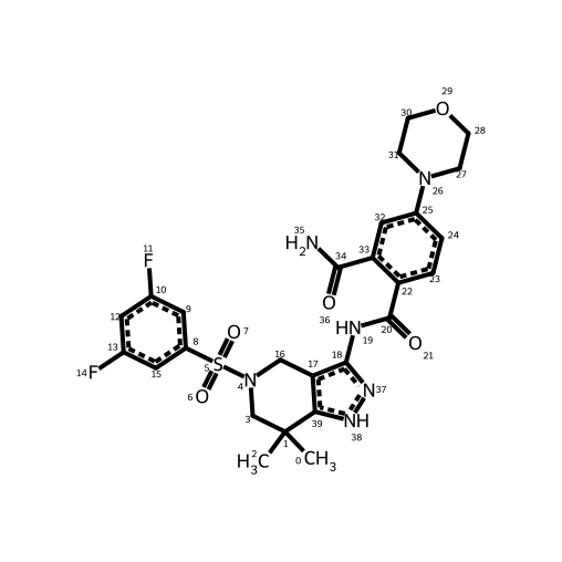 CC1(C)CN(S(=O)(=O)c2cc(F)cc(F)c2)Cc2c(NC(=O)c3ccc(N4CCOCC4)cc3C(N)=O)n[nH]c21